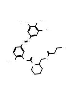 COc1ccc(N=Nc2cc(OC)c(OC)c(OC)c2)cc1OC(=O)N1CCCCC1CNC(=O)CCC(C)C